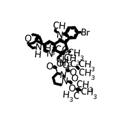 CCn1c(-c2cc(C3=C4CNCC(C3)OC4)cnc2[C@H](C)OC)c(CC(C)(C)COC(=O)[C@@H]2CCCN(C(=O)OC(C)(C)C)N2C(=O)OC(C)(C)C)c2cc(Br)ccc21